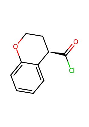 O=C(Cl)[C@@H]1CCOc2ccccc21